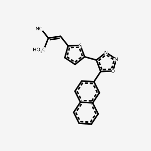 N#C/C(=C/c1ccc(-c2nnoc2-c2ccc3ccccc3c2)s1)C(=O)O